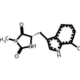 CN1C(=O)N[C@@H](Cc2c[nH]c3c(Cl)cccc23)C1=O